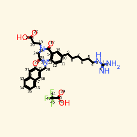 N=C(N)NCCCCCCc1ccc2c(c1)C(=O)N(CCC(=O)O)CC(=O)N2Cc1ccc2ccccc2c1.O=C(O)C(F)(F)F